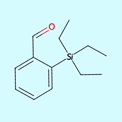 CC[Si](CC)(CC)c1ccccc1C=O